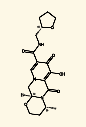 C[C@@H]1CCO[C@H]2Cn3cc(C(=O)NC[C@@H]4CCCO4)c(=O)c(O)c3C(=O)N12